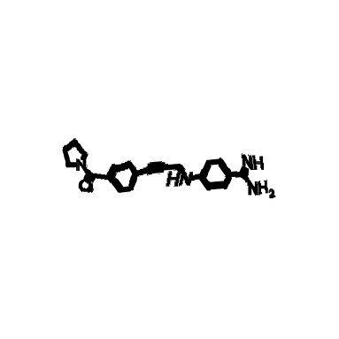 N=C(N)c1ccc(NCC#Cc2ccc(C(=O)N3CCCC3)cc2)cc1